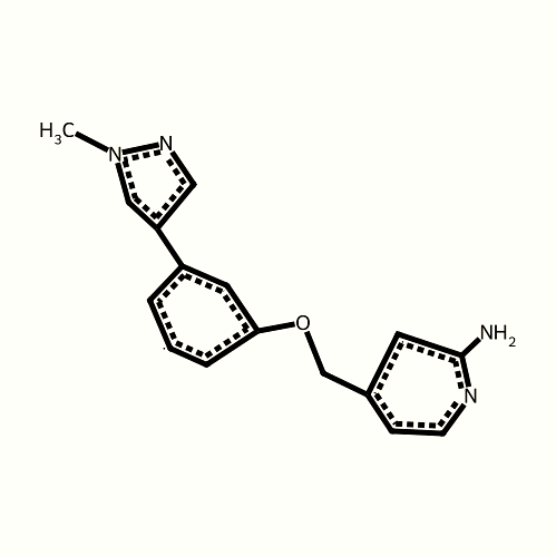 Cn1cc(-c2c[c]cc(OCc3ccnc(N)c3)c2)cn1